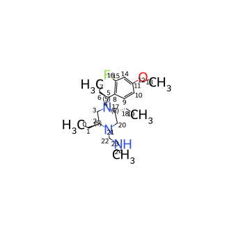 CC[C@H]1CN([C@@H](CC)c2ccc(OC)cc2F)[C@H](CC)CN1CNC